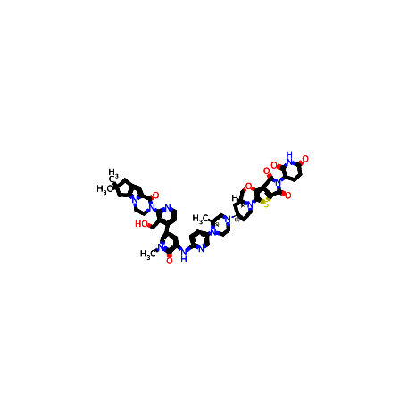 C[C@H]1CN([C@H]2CCN3c4sc5c(c4OC[C@H]3C2)C(=O)N(C2CCC(=O)NC2=O)C5=O)CCN1c1ccc(Nc2cc(-c3ccnc(N4CCn5c(cc6c5CC(C)(C)C6)C4=O)c3CO)cn(C)c2=O)nc1